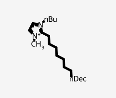 CCCCCCCCCCCCCCCCCc1n(CCCC)cc[n+]1C